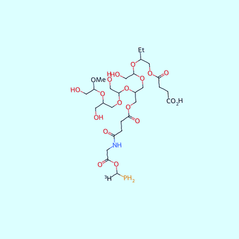 [3H]C(P)OC(=O)CNC(=O)CCC(=O)OCC(COC(CO)OC(CC)COC(=O)CCC(=O)O)OC(CO)OCC(CO)OC(CO)OC